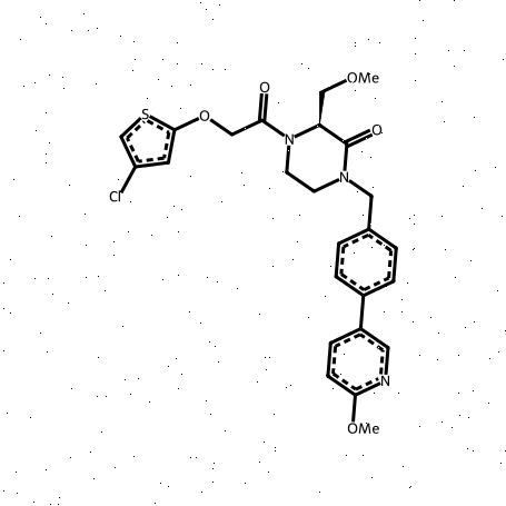 COC[C@H]1C(=O)N(Cc2ccc(-c3ccc(OC)nc3)cc2)CCN1C(=O)COc1cc(Cl)cs1